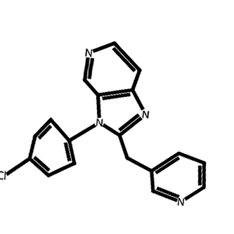 Clc1ccc(-n2c(Cc3cccnc3)nc3ccncc32)cc1